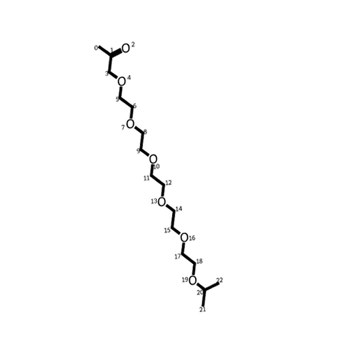 CC(=O)COCCOCCOCCOCCOCCOC(C)C